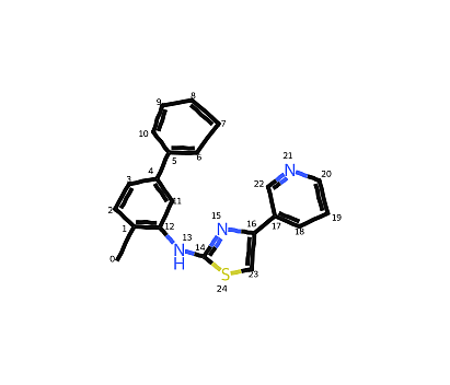 Cc1ccc(-c2ccccc2)cc1Nc1nc(-c2cccnc2)cs1